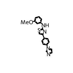 COc1cccc(Nc2nc(-c3ccc(-n4ccnc4)cc3)cs2)c1